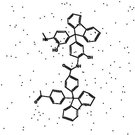 CNc1ccc(C2(c3ccc(NC(=O)c4ccc(C5(c6ccc(C(C)=O)cc6)c6ccccc6-c6ccccc65)cc4)c(O)c3)c3ccccc3-c3ccccc32)cc1O